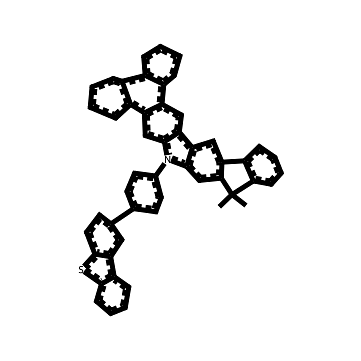 CC1(C)c2ccccc2-c2cc3c4cc5c6ccccc6c6ccccc6c5cc4n(-c4ccc(-c5ccc6sc7ccccc7c6c5)cc4)c3cc21